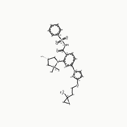 C[C@@H]1CN(c2nc(-n3ccc(OCCC4(C(F)(F)F)CC4)n3)ccc2C(=O)NS(=O)(=O)c2ccccc2)[Si](C)(C)C1